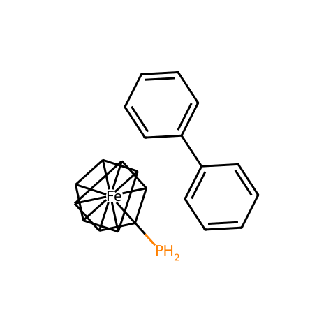 P[C]12[CH]3[CH]4[CH]5[CH]1[Fe]45321678[CH]2[CH]1[CH]6[CH]7[CH]28.c1ccc(-c2ccccc2)cc1